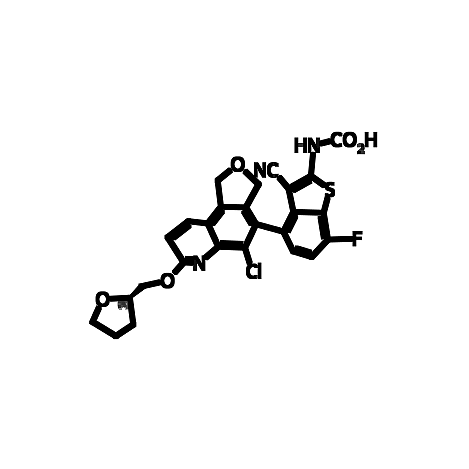 N#Cc1c(NC(=O)O)sc2c(F)ccc(-c3c4c(c5ccc(OC[C@H]6CCCO6)nc5c3Cl)COC4)c12